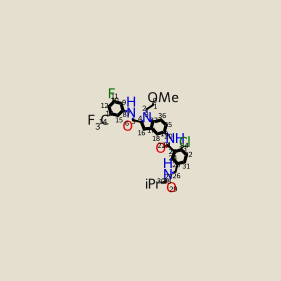 COCCn1c(C(=O)Nc2cc(F)cc(C(F)(F)F)c2)cc2cc(NC(=O)c3cc(CNC(=O)C(C)C)ccc3Cl)ccc21